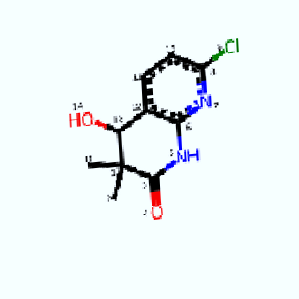 CC1(C)C(=O)Nc2nc(Cl)ccc2C1O